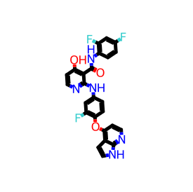 O=C(Nc1ccc(F)cc1F)c1c(O)ccnc1Nc1ccc(Oc2ccnc3[nH]ccc23)c(F)c1